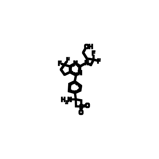 NC1(c2ccc(-c3nc(N4CC(F)(F)C4CO)nc4c3CCC4(F)F)cc2)CS(=O)(=O)C1